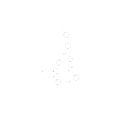 CCS(=O)(=O)c1cccnc1S(=O)(=O)NC(=O)Nc1nc(OC)cc(OC)n1.COc1nc(C)nc(NC(=O)NS(=O)(=O)c2ccccc2CCC(F)(F)F)n1.O=C(O)CNCP(=O)(O)O.O=C(O)c1cc(Oc2ccc(C(F)(F)F)cc2Cl)ccc1[N+](=O)[O-]